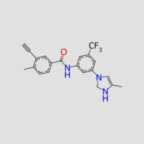 C#Cc1cc(C(=O)Nc2cc(N3C=C(C)NC3)cc(C(F)(F)F)c2)ccc1C